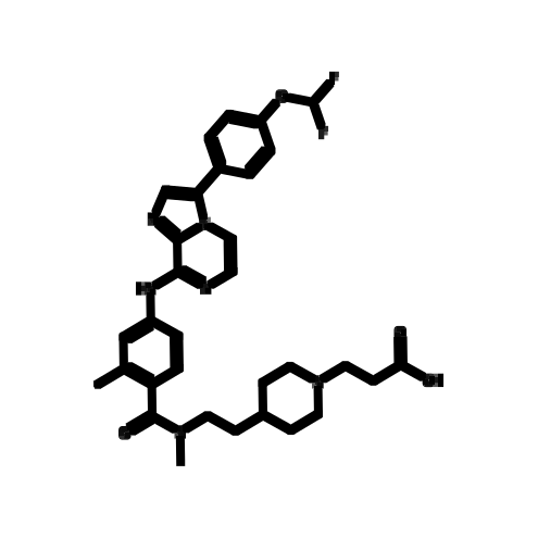 Cc1cc(Nc2nccn3c(-c4ccc(OC(F)F)cc4)cnc23)ccc1C(=O)N(C)CCC1CCN(CCC(=O)O)CC1